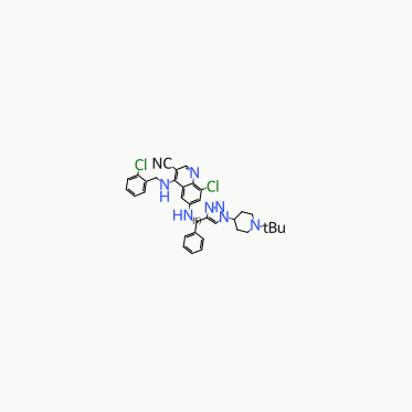 CC(C)(C)N1CCC(n2cc([C@@H](Nc3cc(Cl)c4ncc(C#N)c(NCc5ccccc5Cl)c4c3)c3ccccc3)nn2)CC1